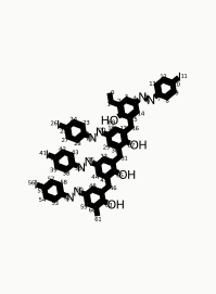 CCc1cc(N=Nc2ccc(I)cc2)cc(Cc2cc(N=Nc3ccc(I)cc3)cc(Cc3cc(N=Nc4ccc(I)cc4)cc(Cc4cc(N=Nc5ccc(I)cc5)cc(C)c4O)c3O)c2O)c1O